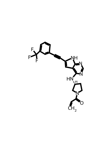 C=CC(=O)N1CC[C@@H](Nc2ncnc3[nH]c(C#Cc4cccc(C(F)(F)F)c4)cc23)C1